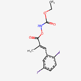 CCOC(=O)NOC(=O)C(C)=Cc1cc(I)ccc1I